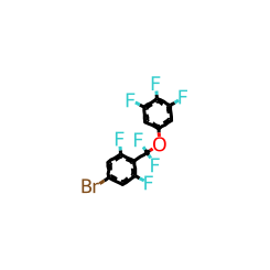 Fc1cc(OC(F)(F)c2c(F)cc(Br)cc2F)cc(F)c1F